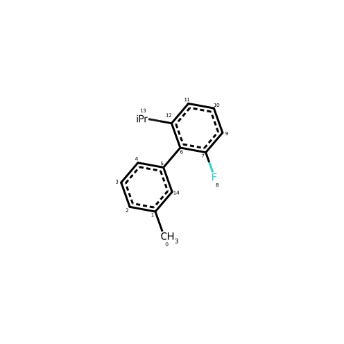 Cc1cccc(-c2c(F)cccc2C(C)C)c1